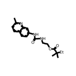 CCC(C)(C)C(=O)OCCNC(=O)Nc1ccc2ccc(C)nc2c1